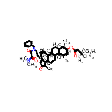 CC(C)C1=C2[C@H]3CCC4[C@@]5(C)CC[C@H](OC(=O)CC(C)(C)C(=O)O)C(C)(C)C5CC[C@@]4(C)[C@]3(C)CC[C@@]2(CCN(Cc2ccccc2)C(=O)C(=O)N(C)C)CC1=O